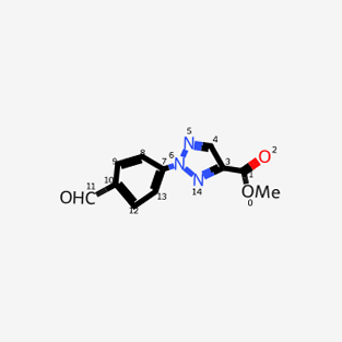 COC(=O)c1cnn(-c2ccc(C=O)cc2)n1